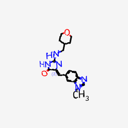 Cn1cnc2ccc(/C=C3\N=C(NCC4CCOCC4)NC3=O)cc21